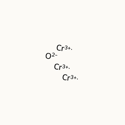 [Cr+3].[Cr+3].[Cr+3].[O-2]